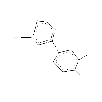 CCC[n+]1cccc(-c2ccc([N+](=O)[O-])c(C)c2)c1